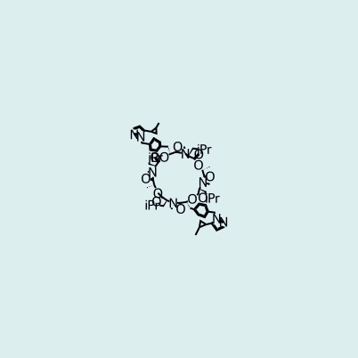 CC(C)C[C@H]1C(=O)O[C@H](Cc2ccc(Cn3nccc3C3CC3C)cc2)C(=O)N(C)[C@@H](CC(C)C)C(=O)O[C@H](C)C(=O)N(C)[C@@H](CC(C)C)C(=O)O[C@H](Cc2ccc(Cn3nccc3C3CC3C)cc2)C(=O)N(C)[C@@H](CC(C)C)C(=O)O[C@H](C)C(=O)N1C